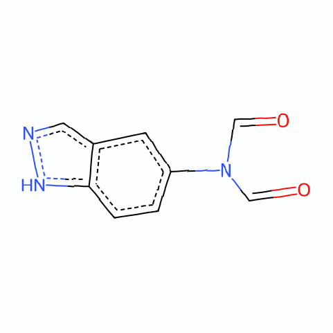 O=CN(C=O)c1ccc2[nH]ncc2c1